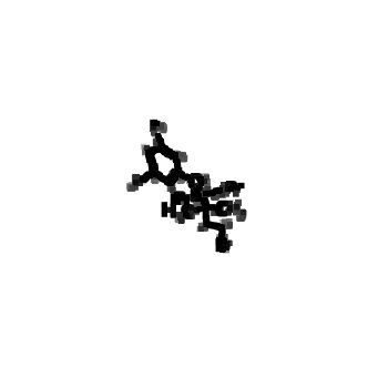 CC(C)[Si](Oc1cc(F)cc(F)c1)(C(C)C)C(C)(C)CCBr